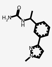 CC(NC(N)=O)c1cccc(-c2ccn(C)n2)c1